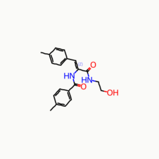 Cc1ccc(/C=C(\NC(=O)c2ccc(C)cc2)C(=O)NCCO)cc1